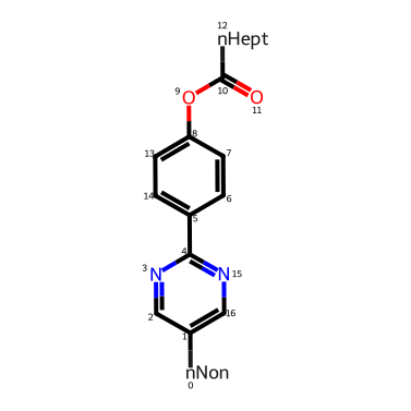 CCCCCCCCCc1cnc(-c2ccc(OC(=O)CCCCCCC)cc2)nc1